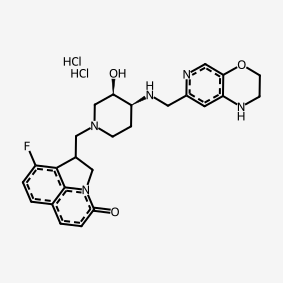 Cl.Cl.O=c1ccc2ccc(F)c3c2n1CC3CN1CC[C@H](NCc2cc3c(cn2)OCCN3)[C@H](O)C1